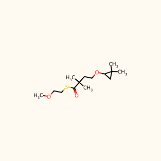 COCCSC(=O)C(C)(C)CCOC1CC1(C)C